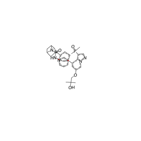 CC(C)(O)COc1cc(-c2ccc(N3CC4CC(C3)N4C(=O)Nc3ccccc3)nc2)c2c(P(C)(C)=O)cnn2c1